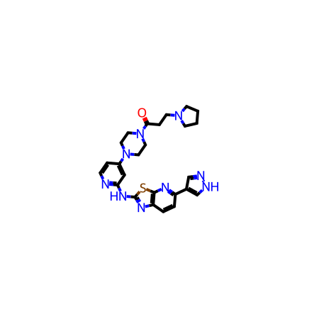 O=C(CCN1CCCC1)N1CCN(c2ccnc(Nc3nc4ccc(-c5cn[nH]c5)nc4s3)c2)CC1